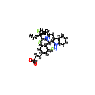 CC1Cc2c([nH]c3ccccc23)C(c2c(F)cc(/C=C/C(=O)[O-])cc2F)=[N+]1CC(C)(C)F